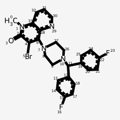 Cn1c(=O)c(Br)c(N2CCN(C(c3ccc(F)cc3)c3ccc(F)cc3)CC2)c2ncccc21